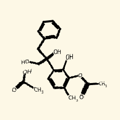 CC(=O)O.CC(=O)Oc1c(C)ccc(C(O)(CO)Cc2ccccc2)c1O